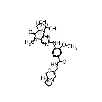 CC[C@@H]1C(=O)N(C)c2cnc(Nc3ccc(C(=O)NC[C@H]4CN5CCC[C@H]5CO4)cc3OC)nc2N1C(C)C